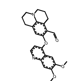 COc1cc2nccc(Oc3cc4c5c(c3C=O)CCCN5CCC4)c2cc1OC